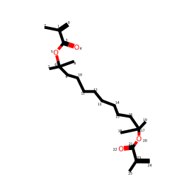 C=C(C)C(=O)OC(C)(C)CCCCCCCCC(C)(C)OC(=O)C(=C)C